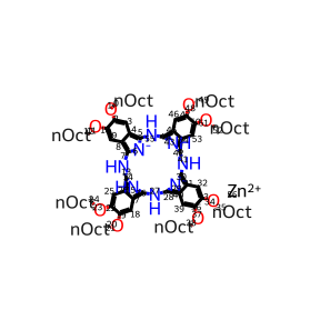 CCCCCCCCOc1cc2c3[n-]c(c2cc1OCCCCCCCC)Nc1[nH]c(c2cc(OCCCCCCCC)c(OCCCCCCCC)cc12)Nc1[n-]c(c2cc(OCCCCCCCC)c(OCCCCCCCC)cc12)Nc1[nH]c(c2cc(OCCCCCCCC)c(OCCCCCCCC)cc12)N3.[Zn+2]